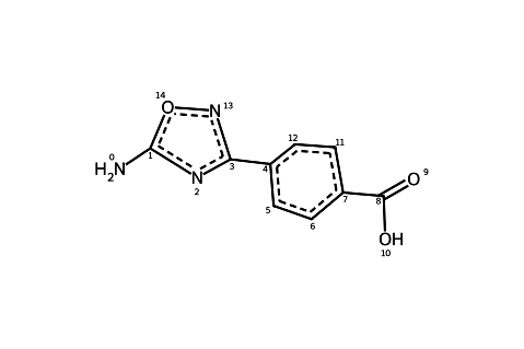 Nc1nc(-c2ccc(C(=O)O)cc2)no1